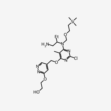 CCC(CN)N(COCC[Si](C)(C)C)c1nc(Cl)nc(OCc2cnnc(OCCO)c2)c1C